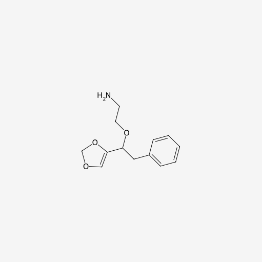 NCCOC(Cc1ccccc1)C1=COCO1